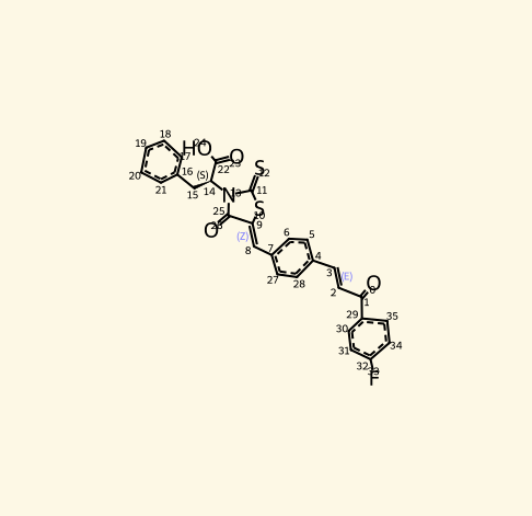 O=C(/C=C/c1ccc(/C=C2\SC(=S)N([C@@H](Cc3ccccc3)C(=O)O)C2=O)cc1)c1ccc(F)cc1